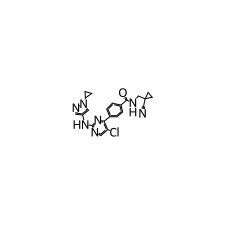 N#CC1(CNC(=O)c2ccc(-c3nc(Nc4cnn(C5CC5)c4)ncc3Cl)cc2)CC1